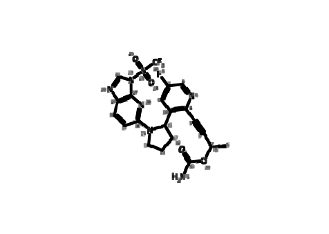 C[C@H](C#Cc1ncc(F)cc1C1CCCN1c1ccc2ncn(S(=O)(=O)C(F)(F)F)c2n1)OC(N)=O